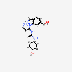 C=C(/N=C(\C=C/N)n1ncc2ccc(CO)cc21)N[C@H]1CC[C@H](O)CC1